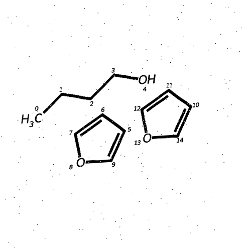 CCCCO.c1ccoc1.c1ccoc1